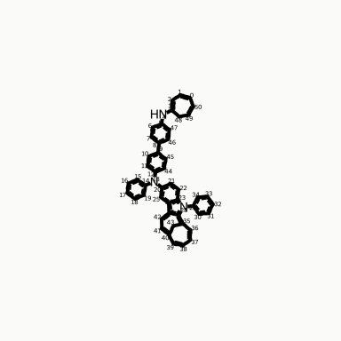 C1=CC=C(Nc2ccc(-c3ccc(N(c4ccccc4)c4ccc5c(c4)c4c(n5-c5ccccc5)=C5C=CC=CC(=CC=4)C5)cc3)cc2)CC=C1